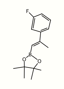 C/C(=C\B1OC(C)(C)C(C)(C)O1)c1cccc(F)c1